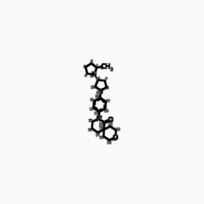 C[C@@H]1CCCN1[C@@H]1CCN(c2ccc(N3CCCC4(CCOCC4)C3=O)cc2)C1